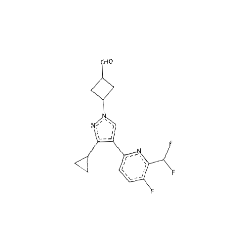 O=CC1CC(n2cc(-c3ccc(F)c(C(F)F)n3)c(C3CC3)n2)C1